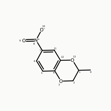 CC1COc2ccc([N+](=O)[O-])cc2O1